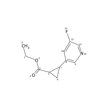 CCOC(=O)C1CC1c1cncc(F)c1